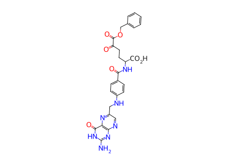 Nc1nc2ncc(CNc3ccc(C(=O)NC(CCC(=O)C(=O)OCc4ccccc4)C(=O)O)cc3)nc2c(=O)[nH]1